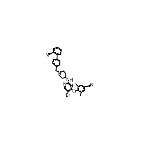 Cc1cc(C#N)cc(C)c1Oc1nc(NC2CCN(Cc3ccc(-c4ccccc4C#N)cc3)CC2)ncc1Br